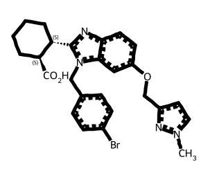 Cn1ccc(COc2ccc3nc([C@H]4CCCC[C@@H]4C(=O)O)n(Cc4ccc(Br)cc4)c3c2)n1